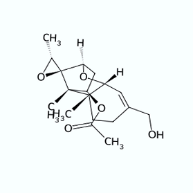 CC(=O)O[C@@H]1C[C@H]2O[C@@H]3C=C(CO)CC[C@]3(C)[C@]1(C)[C@@]21O[C@@H]1C